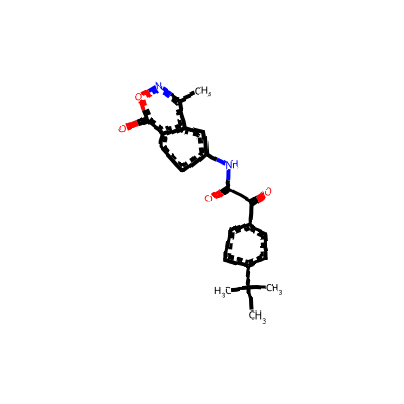 Cc1noc(=O)c2ccc(NC(=O)C(=O)c3ccc(C(C)(C)C)cc3)cc12